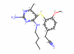 CCCCNc1nc(N)nc(C)c1Sc1cc(CC#N)ccc1OC